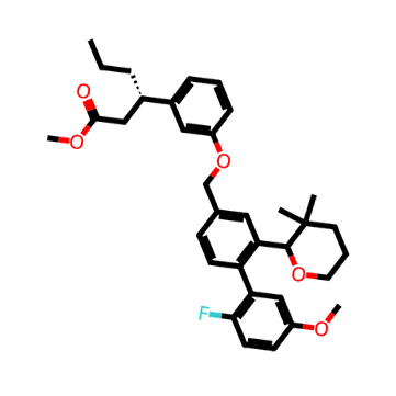 CCC[C@@H](CC(=O)OC)c1cccc(OCc2ccc(-c3cc(OC)ccc3F)c(C3OCCCC3(C)C)c2)c1